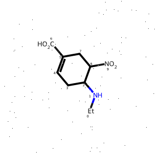 CCNC1CC=C(C(=O)O)CC1[N+](=O)[O-]